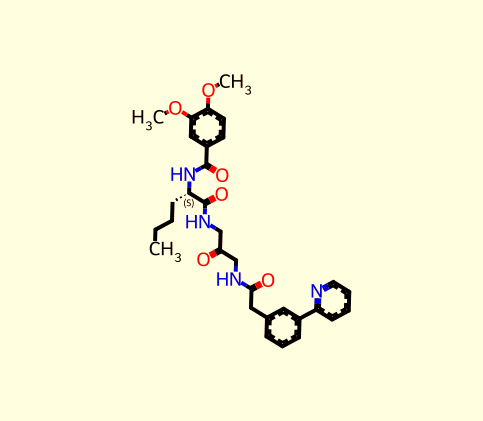 CCCC[C@H](NC(=O)c1ccc(OC)c(OC)c1)C(=O)NCC(=O)CNC(=O)Cc1cccc(-c2ccccn2)c1